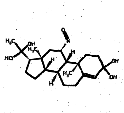 CC(O)(O)[C@H]1CC[C@H]2[C@@H]3CCC4=CC(O)(O)CC[C@]4(C)[C@H]3[C@@H](N=O)C[C@]12C